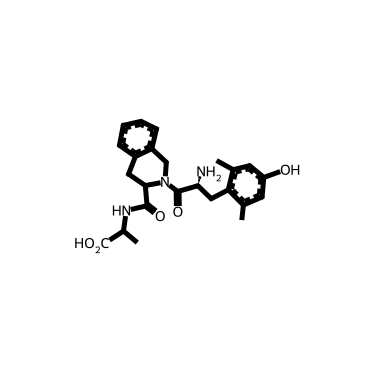 Cc1cc(O)cc(C)c1C[C@@H](N)C(=O)N1Cc2ccccc2CC1C(=O)NC(C)C(=O)O